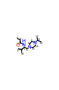 CCC(=O)NC(CN1CCN(C(C)C)CC1)C(C)C